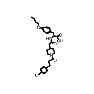 CCCCOc1ccc(C[C@H](NC(=O)CC2CCN(C(=O)CCc3ccc(Cl)cc3)CC2)C(=O)O)cc1